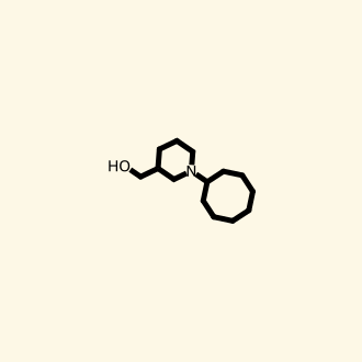 OCC1CCCN(C2CCCCCCC2)C1